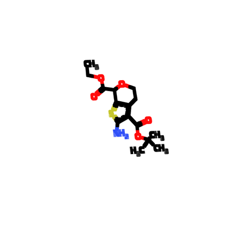 CCOC(=O)C1OCCc2c1sc(N)c2C(=O)OC(C)(C)C